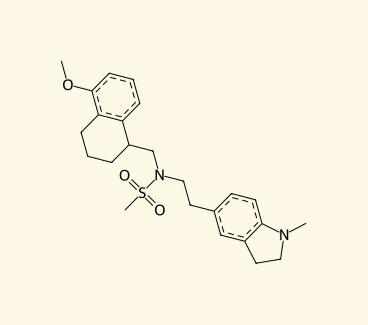 COc1cccc2c1CCCC2CN(CCc1ccc2c(c1)CCN2C)S(C)(=O)=O